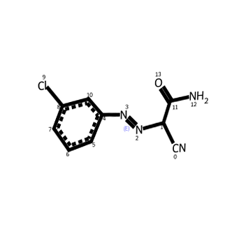 N#CC(/N=N/c1cccc(Cl)c1)C(N)=O